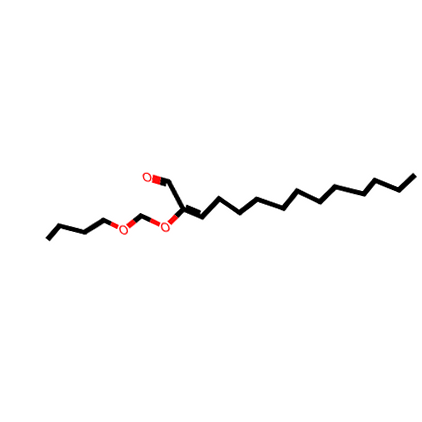 CCCCCCCCCCC/C=C(\C=O)OCOCCCC